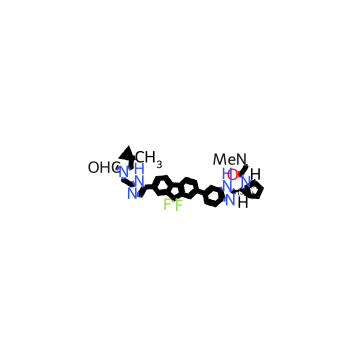 CNCC(=O)N1[C@H]2CC[C@@H](C2)[C@H]1c1nc2ccc(-c3ccc4c(c3)C(F)(F)c3cc(-c5cnc(CN(C=O)CC6(C)CC6)[nH]5)ccc3-4)cc2[nH]1